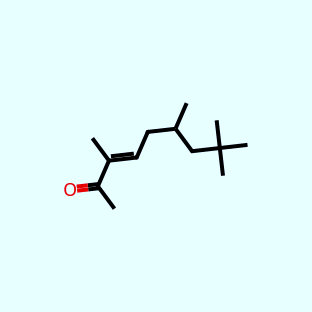 CC(=O)C(C)=CCC(C)CC(C)(C)C